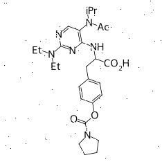 CCN(CC)c1ncc(N(C(C)=O)C(C)C)c(NC(Cc2ccc(OC(=O)N3CCCC3)cc2)C(=O)O)n1